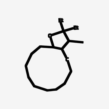 CCC1(CC)OC2CCCCCCCCCCC2C1C